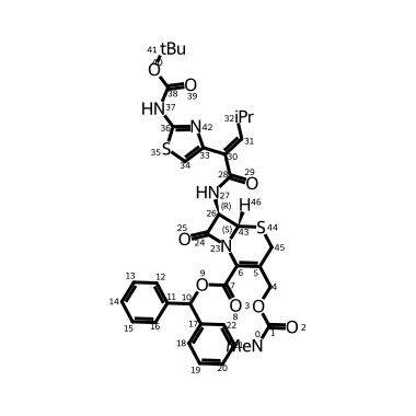 CNC(=O)OCC1=C(C(=O)OC(c2ccccc2)c2ccccc2)N2C(=O)[C@@H](NC(=O)C(=CC(C)C)c3csc(NC(=O)OC(C)(C)C)n3)[C@@H]2SC1